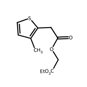 CCOC(=O)COC(=O)Cc1sccc1C